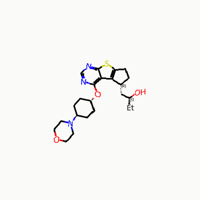 CC[C@H](O)C[C@H]1CCc2sc3ncnc(O[C@H]4CC[C@H](N5CCOCC5)CC4)c3c21